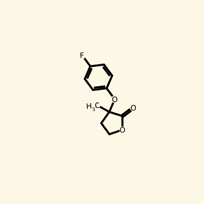 CC1(Oc2ccc(F)cc2)CCOC1=O